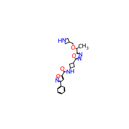 CC(OCC1CNC1)c1nnc(C2CC(NC(=O)c3cc(-c4ccccc4)no3)C2)o1